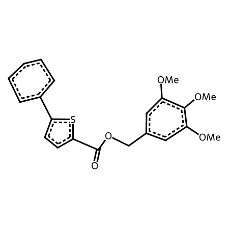 COc1cc(COC(=O)c2ccc(-c3ccccc3)s2)cc(OC)c1OC